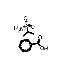 CCC.N[SH](=O)=O.O=C(O)c1ccccc1